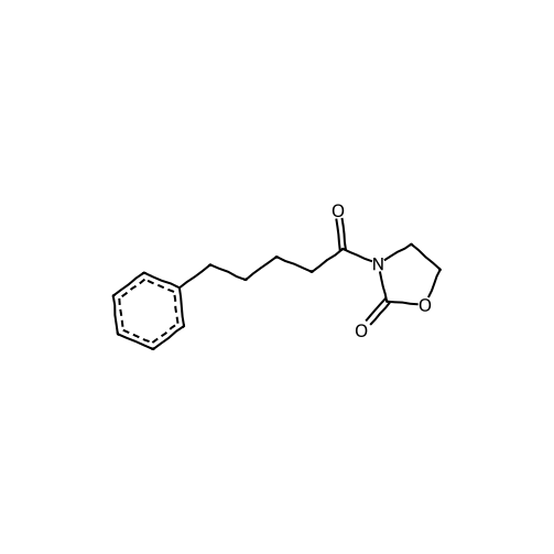 O=C(CCCCc1ccccc1)N1CCOC1=O